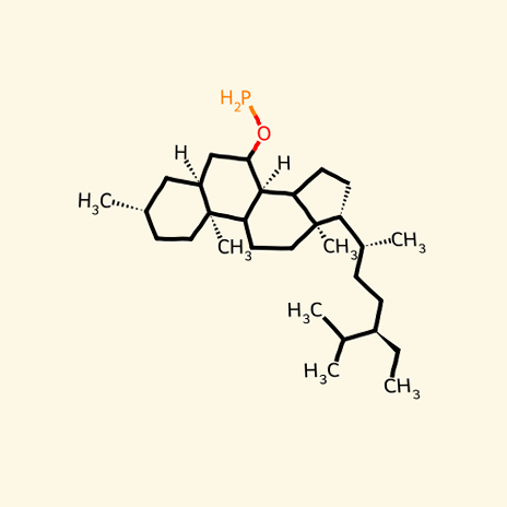 CC[C@H](CC[C@@H](C)[C@H]1CCC2[C@@H]3C(OP)C[C@@H]4C[C@@H](C)CC[C@]4(C)C3CC[C@@]21C)C(C)C